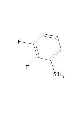 Fc1cccc([SiH3])c1F